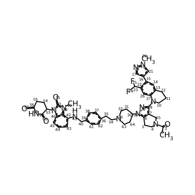 CC(=O)N1CCc2c(c(N3CCCc4cc(-c5cnn(C)c5)c(C(F)F)cc43)nn2C2CCN(CCc3ccc(CNc4cccc5c4n(C)c(=O)n5C4CCC(=O)NC4=O)cc3)CC2)C1